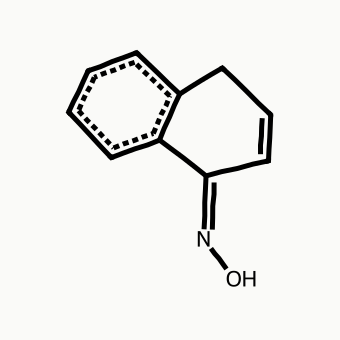 ON=C1C=CCc2ccccc21